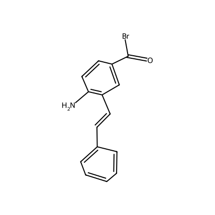 Nc1ccc(C(=O)Br)cc1C=Cc1ccccc1